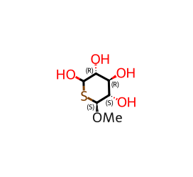 CO[C@H]1SC(O)[C@H](O)[C@@H](O)[C@@H]1O